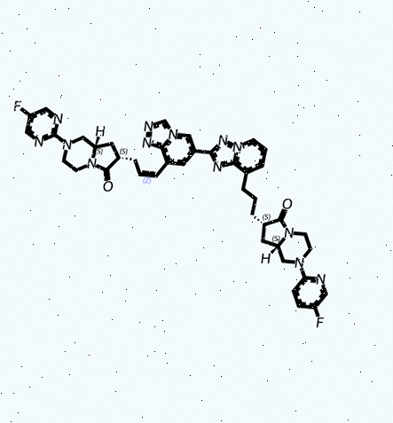 O=C1[C@@H](CCCc2cccn3nc(-c4cc(/C=C\C[C@H]5C[C@H]6CN(c7ncc(F)cn7)CCN6C5=O)c5nncn5c4)nc23)C[C@H]2CN(c3ccc(F)cn3)CCN12